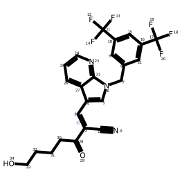 N#C/C(=C\c1cn(Cc2cc(C(F)(F)F)cc(C(F)(F)F)c2)c2ncccc12)C(=O)CCCCO